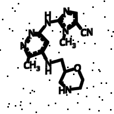 Cc1nnc(Nc2ncc(C#N)n2C)cc1NCC1CNCCO1